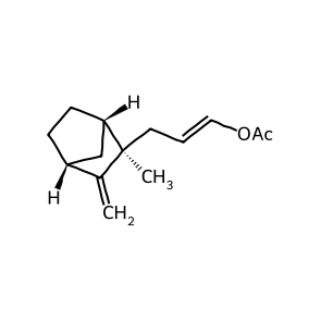 C=C1[C@@H]2CC[C@@H](C2)[C@@]1(C)C/C=C/OC(C)=O